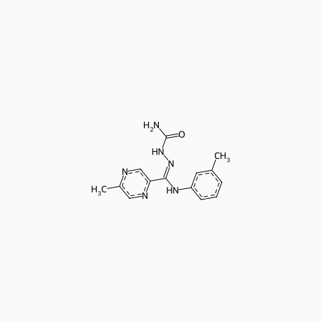 Cc1cccc(NC(=NNC(N)=O)c2cnc(C)cn2)c1